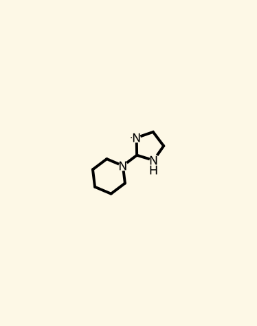 C1CCN(C2[N]CCN2)CC1